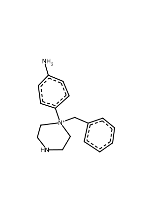 Nc1ccc([N+]2(Cc3ccccc3)CCNCC2)cc1